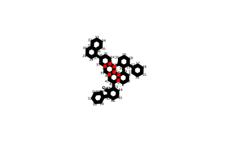 c1ccc(-c2ccccc2-c2c(-c3ccccc3)cccc2N(c2ccc(-c3cccc4ccccc34)cc2)c2ccc(-c3cccc4c3sc3ccccc34)cc2)cc1